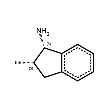 C[C@H]1Cc2ccccc2[C@H]1N